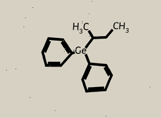 CC[CH](C)[Ge]([c]1ccccc1)[c]1ccccc1